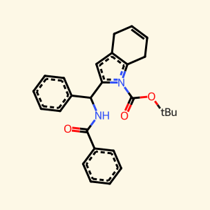 CC(C)(C)OC(=O)n1c(C(NC(=O)c2ccccc2)c2ccccc2)cc2c1CC=CC2